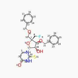 O=c1ccn([C@@H]2O[C@](CF)(COCc3ccccc3)[C@@H](OCc3ccccc3)[C@H]2O)c(=S)[nH]1